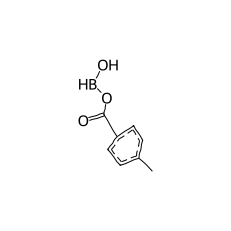 Cc1ccc(C(=O)OBO)cc1